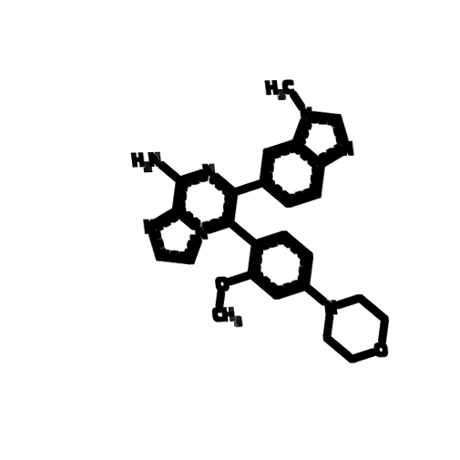 COc1cc(N2CCOCC2)ccc1-c1c(-c2ccc3ncn(C)c3c2)nc(N)c2nccn12